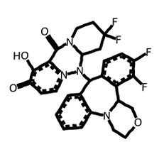 O=C1c2c(O)c(=O)ccn2N(C2c3ccccc3N3CCOCC3c3c2ccc(F)c3F)C2CC(F)(F)CCN12